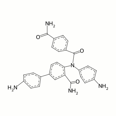 NC(=O)c1ccc(C(=O)N(c2ccc(N)cc2)c2ccc(-c3ccc(N)cc3)cc2C(N)=O)cc1